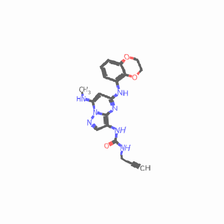 C#CCNC(=O)Nc1cnn2c(NC)cc(Nc3cccc4c3OCCO4)nc12